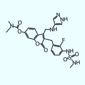 CNS(=O)(=O)Nc1cccc(Cc2c(CNc3cn[nH]c3)c3ccc(OC(=O)N(C)C)cc3oc2=O)c1F